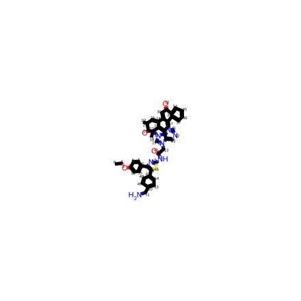 CCOc1ccc(-c2nc(NC(=O)CN3CN(C4(C)C(=O)C(C)C=c5c4ccc4c5=CC(=O)c5ccccc5-4)c4ncncc43)sc2-c2ccc(CN)cc2)cc1